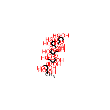 CC(O)C(O)C(O)C(CO)OOC1C(CO)OC(OC2C(CO)OC(OC3C(CO)OC(OC4C(CO)OCC(O)C4O)C(O)C3O)C(O)C2O)C(O)C1O